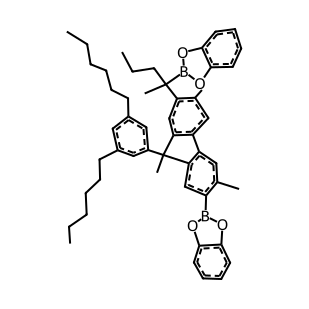 CCCCCCc1cc(CCCCCC)cc(C2(C)c3cc(B4Oc5ccccc5O4)c(C)cc3-c3cc(C)c(C(C)(CCC)B4Oc5ccccc5O4)cc32)c1